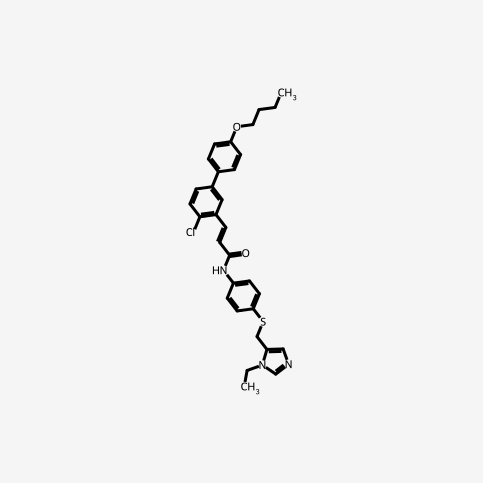 CCCCOc1ccc(-c2ccc(Cl)c(/C=C/C(=O)Nc3ccc(SCc4cncn4CC)cc3)c2)cc1